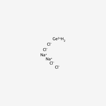 [Cl-].[Cl-].[Cl-].[Cl-].[GeH2+2].[Na+].[Na+]